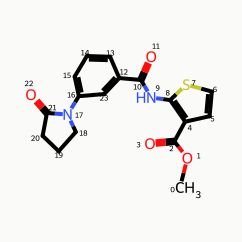 COC(=O)c1ccsc1NC(=O)c1cccc(N2CCCC2=O)c1